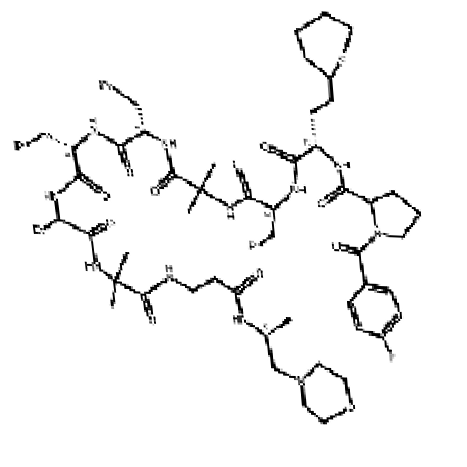 CCC(NC(=O)[C@H](CC(C)C)NC(=O)[C@H](CC(C)C)NC(=O)C(C)(C)NC(=O)[C@H](CC(C)C)NC(=O)[C@H](CCC1CCCCC1)NC(=O)C1CCCN1C(=O)c1ccc(F)cc1)C(=O)NC(C)(C)C(=O)NCCC(=O)N[C@@H](C)CN1CCOCC1